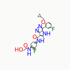 Cc1[nH]c2c(-c3cc(F)ccc3OCC3CC3)ncnc2c1C(=O)N[C@H]1CC[C@H](NC(=O)CO)[C@H](F)C1